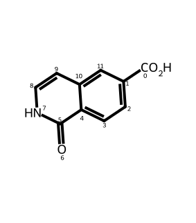 O=C(O)c1ccc2c(=O)[nH]ccc2c1